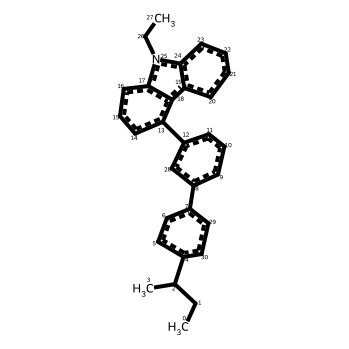 CCC(C)c1ccc(-c2cccc(-c3cccc4c3c3ccccc3n4CC)c2)cc1